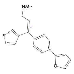 CNC/C=C(/c1ccc(-c2ccco2)cc1)c1ccsc1